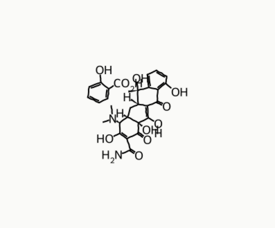 CN(C)[C@@H]1C(O)=C(C(N)=O)C(=O)[C@@]2(O)C(O)=C3C(=O)c4c(O)cccc4[C@@](C)(O)[C@H]3C[C@@H]12.O=C(O)c1ccccc1O